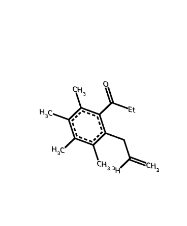 [3H]C(=C)Cc1c(C)c(C)c(C)c(C)c1C(=O)CC